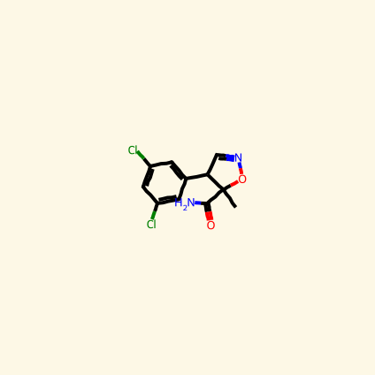 CC1(C(N)=O)ON=CC1c1cc(Cl)cc(Cl)c1